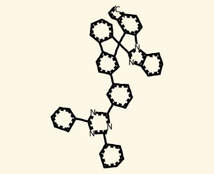 c1ccc(-c2nc(-c3ccccc3)nc(-c3cccc(-c4ccc5c(c4)C4(c6ccccc6-5)c5c(ccc6ccccc56)-n5c4nc4ccccc45)c3)n2)cc1